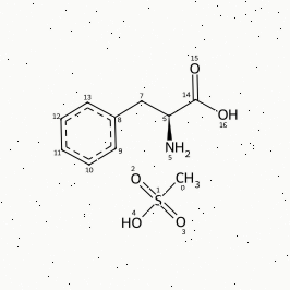 CS(=O)(=O)O.N[C@@H](Cc1ccccc1)C(=O)O